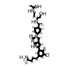 CC(=N)NCC[C@H](CO)N[C@@H](C)c1ccc(-n2cc3cc(-c4cc(CCC[C@H](C)N)cc(Cl)c4F)[nH]c3nc2=O)cc1